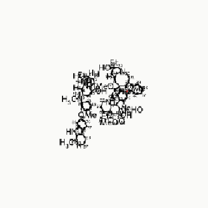 CC[C@H]1[C@@H]2C[C@H]3[C@@H]4N(C)c5ccccc5[C@]45C[C@@H](C2[C@H]5O)N3[C@@H]1O.CC[C@]1(O)C[C@H]2C[N@](CCc3c([nH]c4ccccc34)[C@@](C(=O)OC)(c3cc4c(cc3OC)N(C=O)[C@H]3[C@@](O)(C(=O)OC)[C@H](OC(C)=O)[C@]5(CC)C=CCN6CC[C@]43[C@@H]65)C2)C1.COc1ccc2c3c([nH]c2c1)C(C)=NCC3